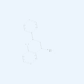 NC1CC(c2ccccc2)Oc2ccccc21